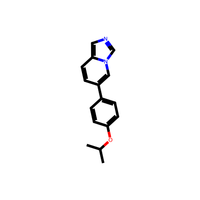 CC(C)Oc1ccc(-c2ccc3cncn3c2)cc1